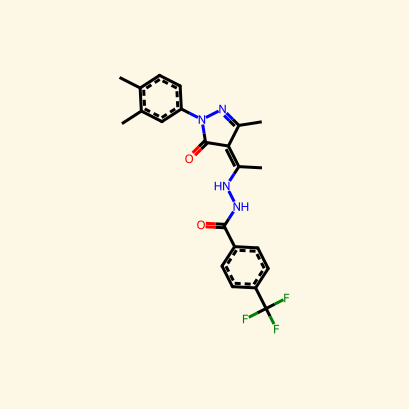 CC1=NN(c2ccc(C)c(C)c2)C(=O)/C1=C(/C)NNC(=O)c1ccc(C(F)(F)F)cc1